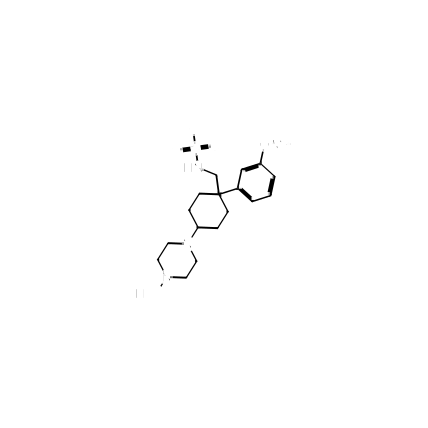 COc1cccc(C2(CNS(C)(=O)=O)CCC(N3CCN(C)CC3)CC2)c1